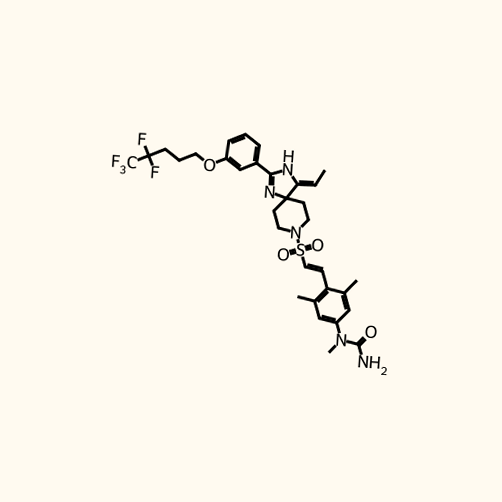 CC=C1NC(c2cccc(OCCCC(F)(F)C(F)(F)F)c2)=NC12CCN(S(=O)(=O)/C=C/c1c(C)cc(N(C)C(N)=O)cc1C)CC2